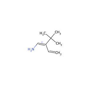 C=C/C(=C\N)C(C)(C)C